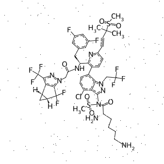 CC(C)(C#Cc1ccc(-c2ccc(Cl)c3c(N(C(=O)[C@@H](N)CCCCN)S(C)(=O)=O)nn(CC(F)(F)F)c23)c([C@H](Cc2cc(F)cc(F)c2)NC(=O)Cn2nc(C(F)(F)F)c3c2C(F)(F)[C@@H]2C[C@H]32)n1)S(C)(=O)=O